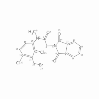 CN(C(=O)CN1C(=O)c2ccccc2C1=O)c1ccc(Cl)c(CBr)c1Cl